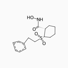 O=C(NO)[C@@H]1CCCC[C@@H]1S(=O)(=O)CCc1ccccc1